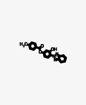 Cc1ccc(C(=O)Oc2ccc(-n3nc4ccccc4n3)c(O)c2)cc1